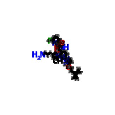 CC1(C)C[C@H](CCCN)CN1c1nc(-n2ccc(OCCC3C4(CC4)C34CC4)n2)ccc1C(=O)NS(=O)(=O)c1cccc(F)n1